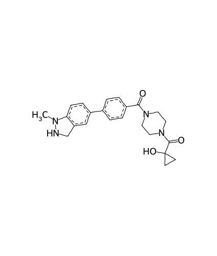 CN1NCc2cc(-c3ccc(C(=O)N4CCN(C(=O)C5(O)CC5)CC4)cc3)ccc21